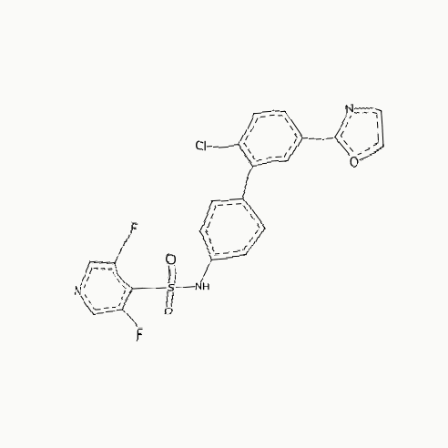 O=S(=O)(Nc1ccc(-c2cc(-c3ncco3)ccc2Cl)cc1)c1c(F)cncc1F